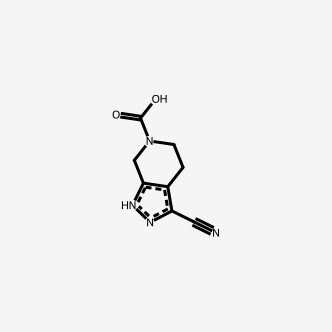 N#Cc1n[nH]c2c1CCN(C(=O)O)C2